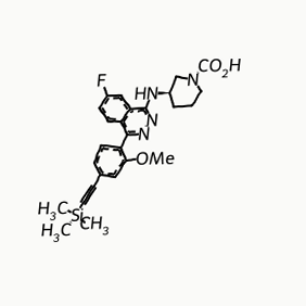 COc1cc(C#C[Si](C)(C)C)ccc1-c1nnc(N[C@@H]2CCCN(C(=O)O)C2)c2cc(F)ccc12